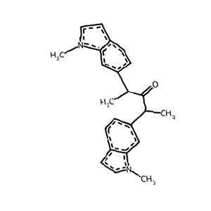 CC(C(=O)C(C)c1ccc2ccn(C)c2c1)c1ccc2ccn(C)c2c1